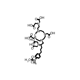 CC(C)(C)Nc1ccc(CCCC(CN2CCN(CC(=O)O)CCN(CCN(CC(=O)O)CC(=O)O)CCN(CC(=O)O)CC2)N(CC(=O)O)CC(=O)O)cc1